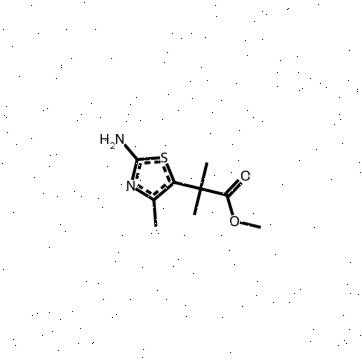 COC(=O)C(C)(C)c1sc(N)nc1C